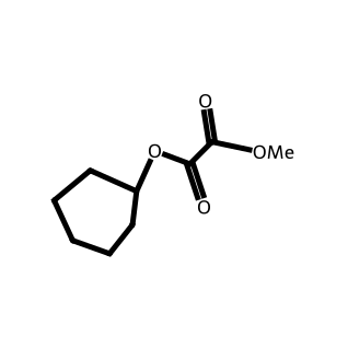 COC(=O)C(=O)OC1CCCCC1